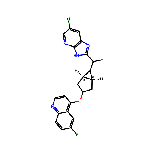 CC(c1nc2cc(Cl)cnc2[nH]1)C1[C@H]2CC(Oc3ccnc4ccc(F)cc34)C[C@@H]12